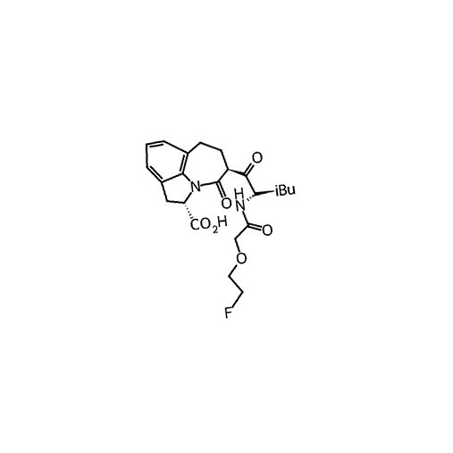 CC[C@H](C)[C@H](NC(=O)COCCF)C(=O)[C@@H]1CCc2cccc3c2N(C1=O)[C@H](C(=O)O)C3